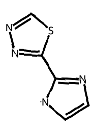 C1=CN=C(c2nncs2)[N]1